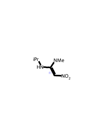 CN/C(=C\[N+](=O)[O-])NC(C)C